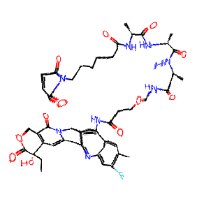 CC[C@@]1(O)C(=O)OCc2c1cc1n(c2=O)Cc2c-1nc1cc(F)c(C)cc1c2NC(=O)CCOCNC(=O)[C@H](C)NC(=O)[C@H](C)NC(=O)[C@H](C)NC(=O)CCCCCN1C(=O)C=CC1=O